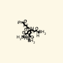 BNC(=O)CCC(CCC(=O)NB)(CCC(=O)NB)NC(=O)CCC(=O)C(C)C